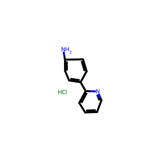 Cl.Nc1ccc(-c2ccccn2)cc1